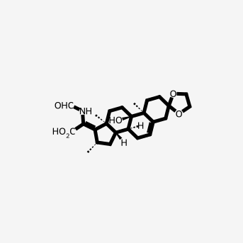 C[C@H]1C[C@H]2[C@@H]3CC=C4CC5(CC[C@]4(C)[C@@]3(O)CC[C@]2(C)/C1=C(\NC=O)C(=O)O)OCCO5